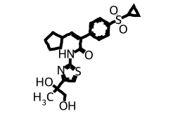 CC(O)(CO)c1csc(NC(=O)C(=CC2CCCC2)c2ccc(S(=O)(=O)C3CC3)cc2)n1